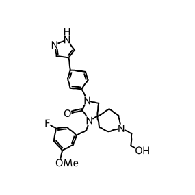 COc1cc(F)cc(CN2C(=O)N(c3ccc(-c4cn[nH]c4)cc3)CC23CCN(CCO)CC3)c1